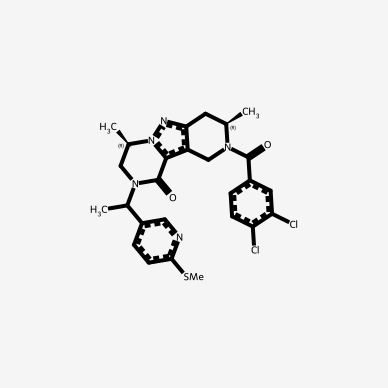 CSc1ccc(C(C)N2C[C@@H](C)n3nc4c(c3C2=O)CN(C(=O)c2ccc(Cl)c(Cl)c2)[C@H](C)C4)cn1